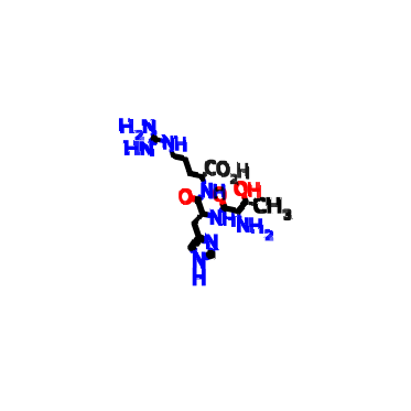 C[C@@H](O)[C@H](N)C(=O)N[C@@H](Cc1c[nH]cn1)C(=O)N[C@@H](CCCNC(=N)N)C(=O)O